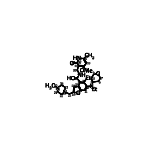 CCc1c(N(CC)C2CCOCC2)cc2oc(CN3CCN(C)CC3)cc2c1C(O)NCc1c(OC)cc(C)[nH]c1=O